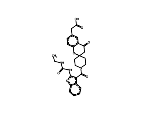 CCNC(=O)Nc1sc2ccccc2c1C(=O)N1CCC2(CC1)CC(=O)c1cc(CC(=O)O)ccc1O2